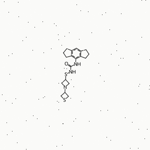 O=C(NSC1CN(C2CSC2)C1)Nc1c2c(cc3c1CCC3)CCC2